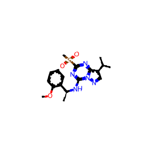 COc1ccccc1[C@H](C)Nc1nc(S(C)(=O)=O)nc2c(C(C)C)cnn12